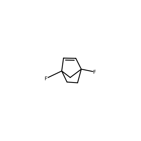 FC12C=CC(F)(CC1)C2